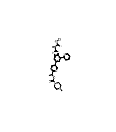 CCNC(=O)Nc1nc2cc(-c3cnc(C(C)OC(=O)N4CCN(C)CC4)nc3)cc(-c3ccccn3)c2s1